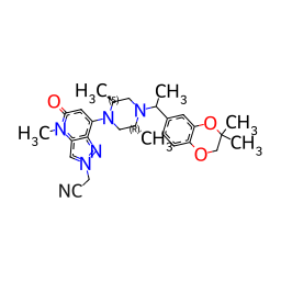 CC(c1ccc2c(c1)OC(C)(C)CO2)N1C[C@H](C)N(c2cc(=O)n(C)c3cn(CC#N)nc23)C[C@H]1C